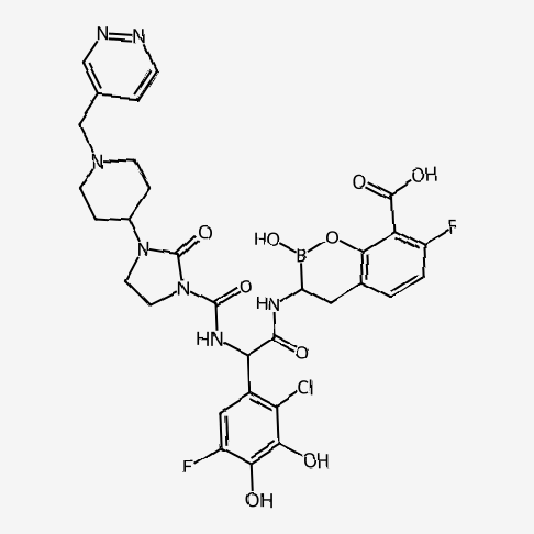 O=C(O)c1c(F)ccc2c1OB(O)C(NC(=O)C(NC(=O)N1CCN(C3CCN(Cc4ccnnc4)CC3)C1=O)c1cc(F)c(O)c(O)c1Cl)C2